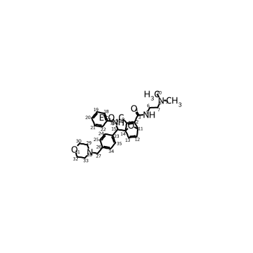 CCOC(=O)C1=C(C(=O)NCCN(C)C)C2C=CC1(C(Nc1ccccc1)c1ccc(CN3CCOCC3)cc1)O2